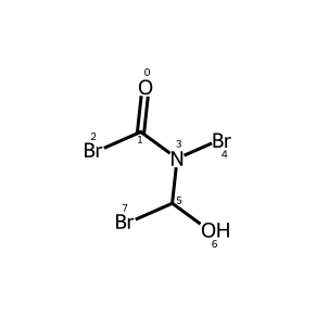 O=C(Br)N(Br)C(O)Br